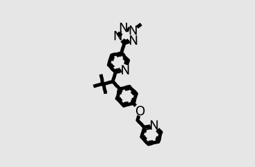 Cn1nnc(-c2ccc(C(c3ccc(OCc4ccccn4)cc3)C(C)(C)C)nc2)n1